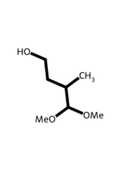 COC(OC)C(C)CCO